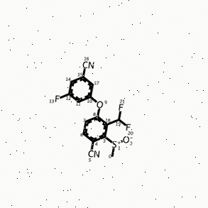 C[S+]([O-])c1c(C#N)ccc(Oc2cc(F)cc(C#N)c2)c1C(F)F